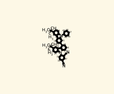 CC(C)(C)c1ccc2c(c1)c1ccc(-c3cccc4c3c3cc(C(C)(C)C)ccc3n4-c3ccc(C#N)cc3C#N)cc1n2-c1ccccc1